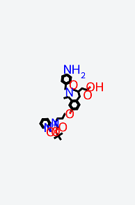 CC1c2cc(OCCCN(C(=O)OC(C)(C)C)c3cccc[n+]3[O-])ccc2CC(CC(=O)O)C(=O)N1Cc1ccc(N)cc1